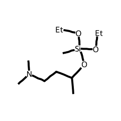 CCO[Si](C)(OCC)OC(C)CCN(C)C